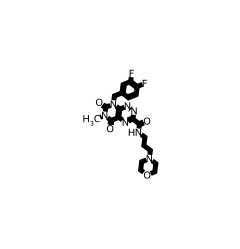 Cn1c(=O)c2nc(C(=O)NCCCN3CCOCC3)nnc2n(Cc2ccc(F)c(F)c2)c1=O